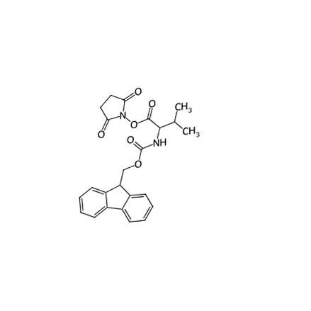 CC(C)C(NC(=O)OCC1c2ccccc2-c2ccccc21)C(=O)ON1C(=O)CCC1=O